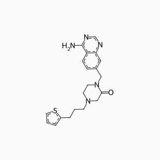 Nc1ncnc2cc(CN3CCN(CCCc4cccs4)CC3=O)ccc12